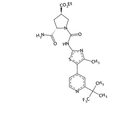 CCOC(=O)[C@@H]1C[C@@H](C(N)=O)N(C(=O)Nc2nc(C)c(-c3ccnc(C(C)(C)C(F)(F)F)c3)s2)C1